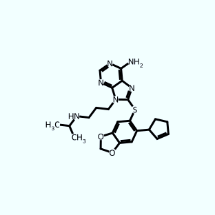 CC(C)NCCCn1c(Sc2cc3c(cc2C2C=CCC2)OCO3)nc2c(N)ncnc21